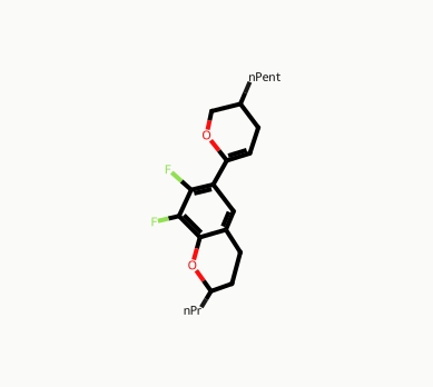 CCCCCC1CC=C(c2cc3c(c(F)c2F)OC(CCC)CC3)OC1